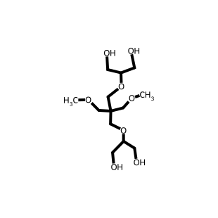 COCC(COC)(COC(CO)CO)COC(CO)CO